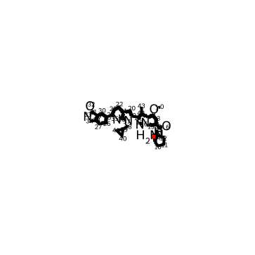 COc1cc(C(=O)N2CC3CCC2[C@@H]3N)cn2nc(-c3cc4ccc(-c5ccc6c(c5)C(=O)N=C6)nc4n3CC3CC3)c(C)c12